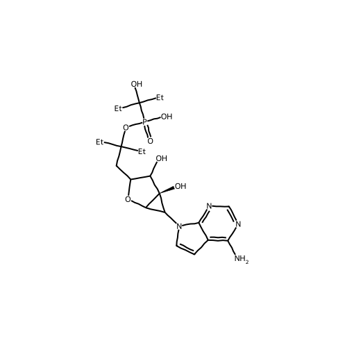 CCC(CC)(CC1OC2C(n3ccc4c(N)ncnc43)[C@@]2(O)C1O)OP(=O)(O)C(O)(CC)CC